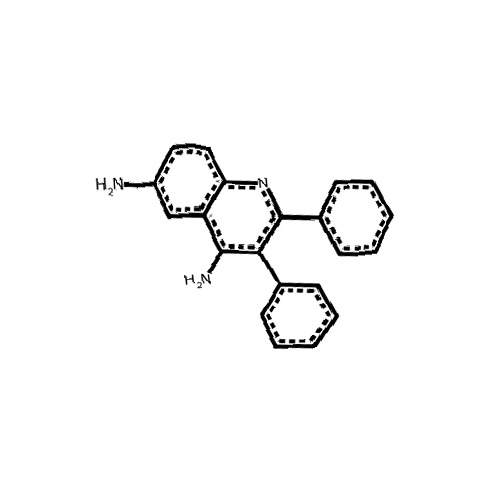 Nc1ccc2nc(-c3ccccc3)c(-c3ccccc3)c(N)c2c1